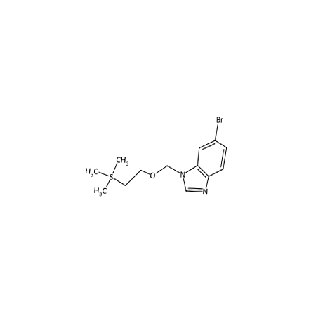 CS(C)(C)CCOCn1cnc2ccc(Br)cc21